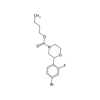 CCCCOC(=O)N1CCOC(c2ccc(Br)cc2F)C1